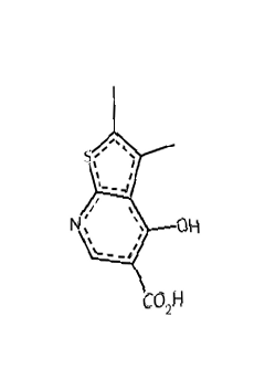 Cc1c(I)sc2ncc(C(=O)O)c(O)c12